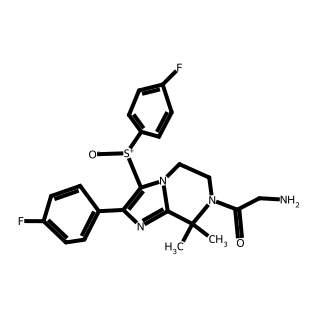 CC1(C)c2nc(-c3ccc(F)cc3)c([S+]([O-])c3ccc(F)cc3)n2CCN1C(=O)CN